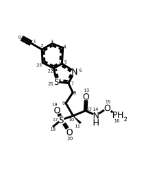 C#Cc1ccc2nc(CC[C@](C)(C(=O)NOP)S(C)(=O)=O)sc2c1